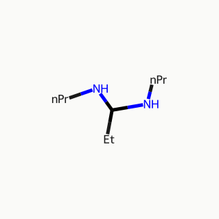 CCCNC(CC)NCCC